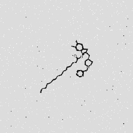 CCCCCCCCCCCCCCCC(=O)OC1=C(CC2CCN(Cc3ccccc3)CC2)Cc2cc(C)c(C)cc21